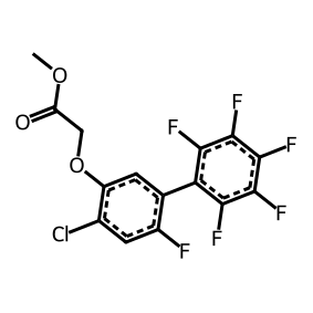 COC(=O)COc1cc(-c2c(F)c(F)c(F)c(F)c2F)c(F)cc1Cl